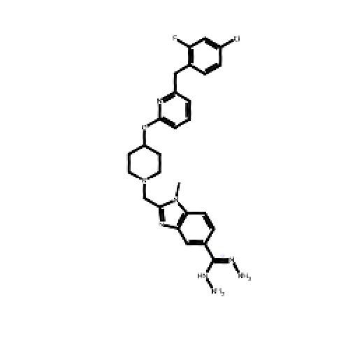 Cn1c(CN2CCC(Oc3cccc(Cc4ccc(Cl)cc4F)n3)CC2)nc2cc(/C(=N/N)NN)ccc21